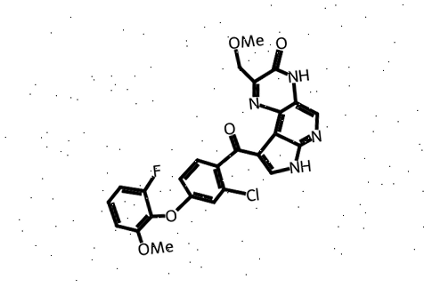 COCc1nc2c(cnc3[nH]cc(C(=O)c4ccc(Oc5c(F)cccc5OC)cc4Cl)c32)[nH]c1=O